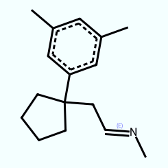 C/N=C/CC1(c2cc(C)cc(C)c2)CCCC1